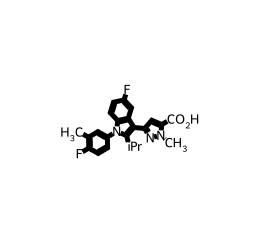 Cc1cc(-n2c(C(C)C)c(-c3cc(C(=O)O)n(C)n3)c3cc(F)ccc32)ccc1F